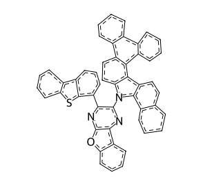 c1ccc2c(c1)ccc1c3c4c5ccccc5c5ccccc5c4ccc3n(-c3nc4c(nc3-c3cccc5c3sc3ccccc35)oc3ccccc34)c21